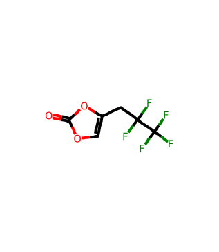 O=c1occ(CC(F)(F)C(F)(F)F)o1